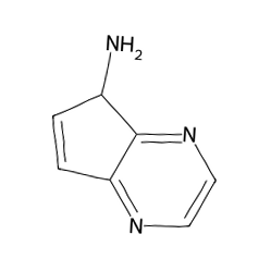 NC1C=Cc2nccnc21